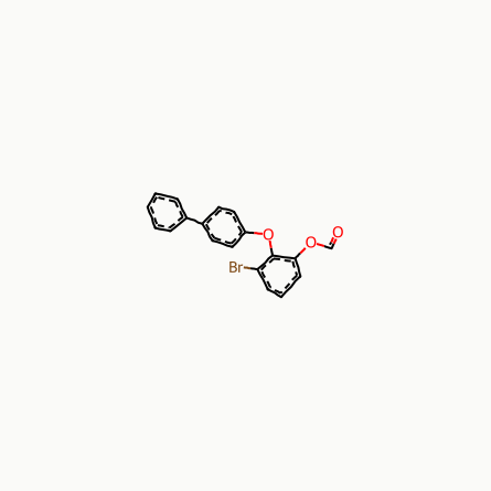 O=COc1cccc(Br)c1Oc1ccc(-c2ccccc2)cc1